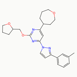 Cc1cccc(-c2ccn(-c3cc(C4CCCOCC4)nc(OCC4CCCO4)n3)n2)c1